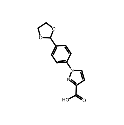 O=C(O)c1ccn(-c2ccc(C3OCCO3)cc2)n1